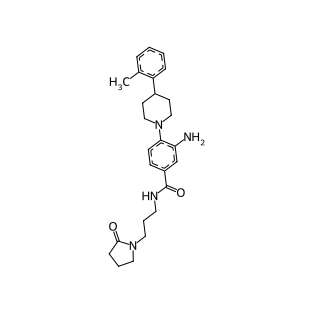 Cc1ccccc1C1CCN(c2ccc(C(=O)NCCCN3CCCC3=O)cc2N)CC1